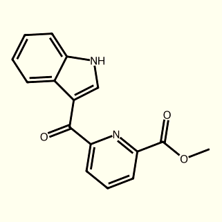 COC(=O)c1cccc(C(=O)c2c[nH]c3ccccc23)n1